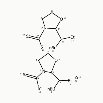 CCCCC(CC)C1OCCN1C(=S)[S-].CCCCC(CC)C1OCCN1C(=S)[S-].[Zn+2]